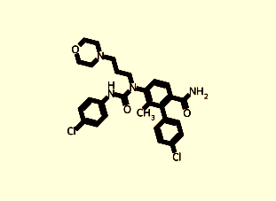 Cc1c(N(CCCN2CCOCC2)C(=O)Nc2ccc(Cl)cc2)ccc(C(N)=O)c1-c1ccc(Cl)cc1